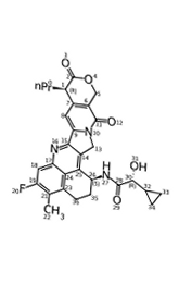 CCC[C@H]1C(=O)OCc2c1cc1n(c2=O)Cc2c-1nc1cc(F)c(C)c3c1c2[C@@H](NC(=O)[C@H](O)C1CC1)CC3